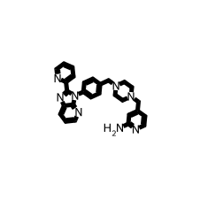 Nc1cc(CN2CCN(Cc3ccc(-n4c(-c5ccccn5)nc5cccnc54)cc3)CC2)ccn1